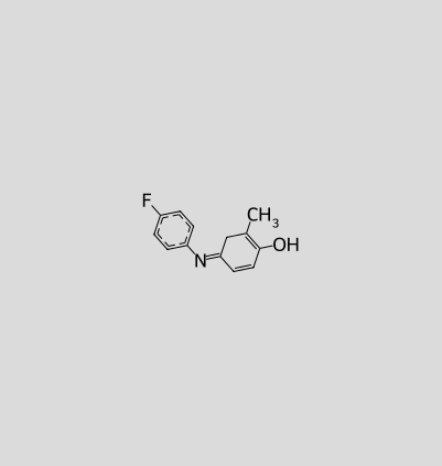 CC1=C(O)C=CC(=Nc2ccc(F)cc2)C1